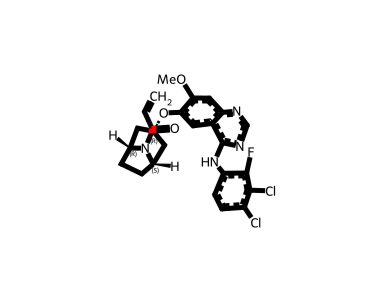 C=CC(=O)N1[C@@H]2CC[C@H]1C[C@@H](Oc1cc3c(Nc4ccc(Cl)c(Cl)c4F)ncnc3cc1OC)C2